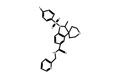 CC1N(S(=O)(=O)c2ccc(F)cc2)c2ccc(C(=O)NCc3ccccn3)cc2C12CCOCC2